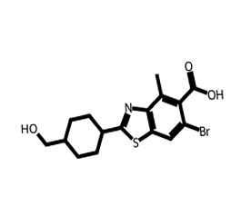 Cc1c(C(=O)O)c(Br)cc2sc(C3CCC(CO)CC3)nc12